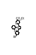 CCOC(=O)c1ccc(-c2ccc(-c3ccc(Br)cc3)n2-c2ccccc2C(F)(F)F)nc1